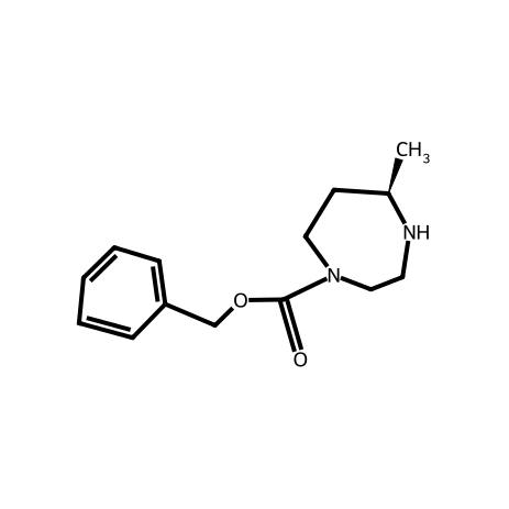 C[C@@H]1CCN(C(=O)OCc2ccccc2)CCN1